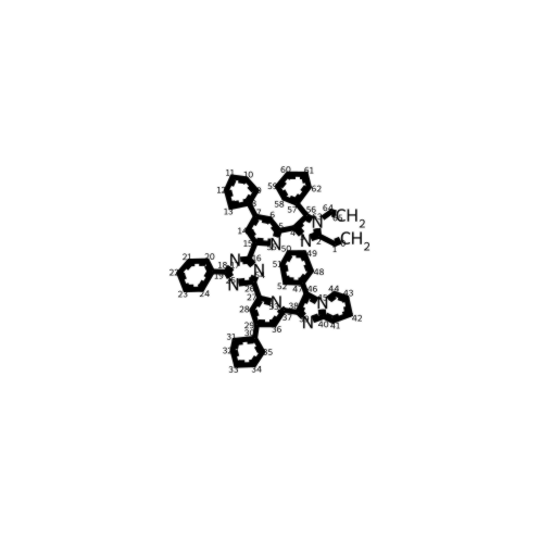 C=Cc1nc(-c2cc(-c3ccccc3)cc(-c3nc(-c4ccccc4)nc(-c4cc(-c5ccccc5)cc(-c5nc6ccccn6c5-c5ccccc5)n4)n3)n2)c(-c2ccccc2)n1C=C